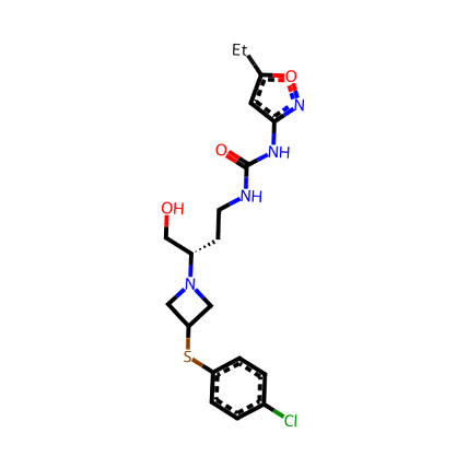 CCc1cc(NC(=O)NCC[C@@H](CO)N2CC(Sc3ccc(Cl)cc3)C2)no1